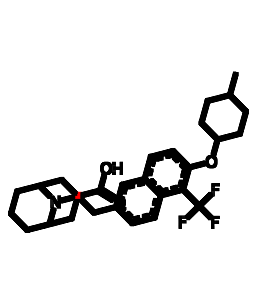 CC1CCC(Oc2ccc3cc(CCN4C5CCCC4CC(C(=O)O)C5)ccc3c2C(F)(F)F)CC1